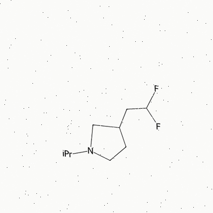 CC(C)N1CCC(CC(F)F)C1